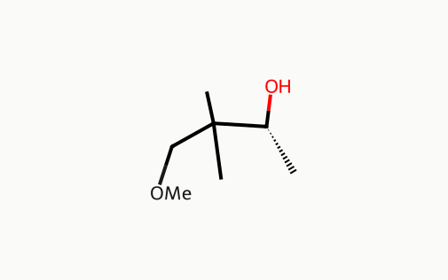 COCC(C)(C)[C@@H](C)O